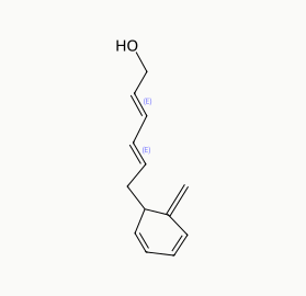 C=C1C=CC=CC1C/C=C/C=C/CO